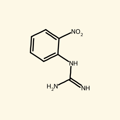 N=C(N)Nc1ccccc1[N+](=O)[O-]